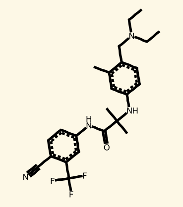 CCN(CC)Cc1ccc(NC(C)(C)C(=O)Nc2ccc(C#N)c(C(F)(F)F)c2)cc1C